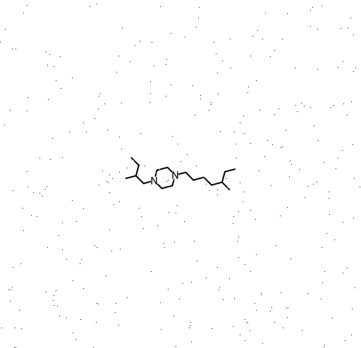 CCC(C)CCCCN1CCN(CC(C)CC)CC1